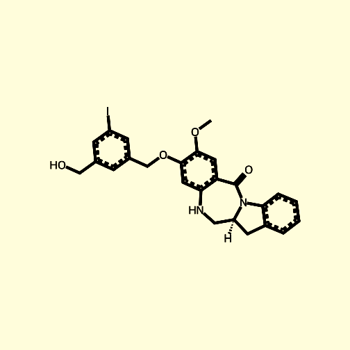 COc1cc2c(cc1OCc1cc(I)cc(CO)c1)NC[C@@H]1Cc3ccccc3N1C2=O